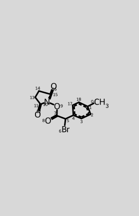 Cc1ccc(C(Br)C(=O)ON2C(=O)CCC2=O)cc1